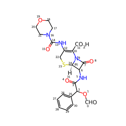 O=COC(C(=O)NC1C(=O)N2C(C(=O)O)=C(NC(=O)N3CCOCC3)CS[C@H]12)c1ccccc1